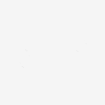 N#Cc1ccccc1NC(=O)COc1ccc(CCC=NOC2CC3CCC2CC3)cc1